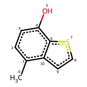 Cc1ccc(O)c2sccc12